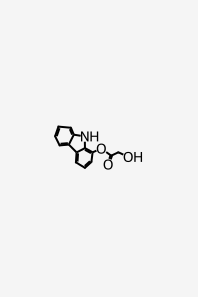 O=C(CO)Oc1cccc2c1[nH]c1ccccc12